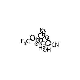 CC1=C(C(=O)n2ccnc2)[C@@H](c2ccc(C#N)cc2SO)NC(=O)N1c1cccc(C(F)(F)F)c1